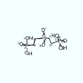 O=P(O)(O)CCS(=O)(=O)CCP(=O)(O)O